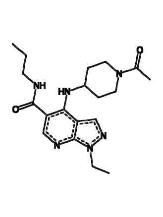 CCCNC(=O)c1cnc2c(cnn2CC)c1NC1CCN(C(C)=O)CC1